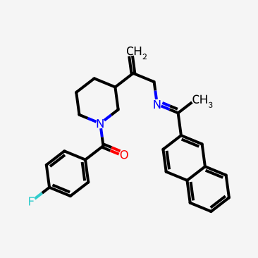 C=C(C/N=C(\C)c1ccc2ccccc2c1)C1CCCN(C(=O)c2ccc(F)cc2)C1